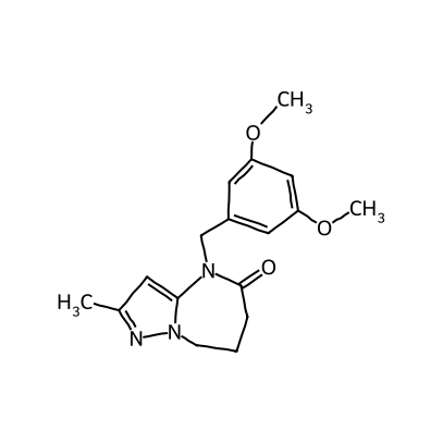 COc1cc(CN2C(=O)CCCn3nc(C)cc32)cc(OC)c1